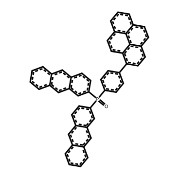 O=P(c1ccc(-c2ccc3ccc4cccc5ccc2c3c45)cc1)(c1ccc2cc3ccccc3cc2c1)c1ccc2cc3ccccc3cc2c1